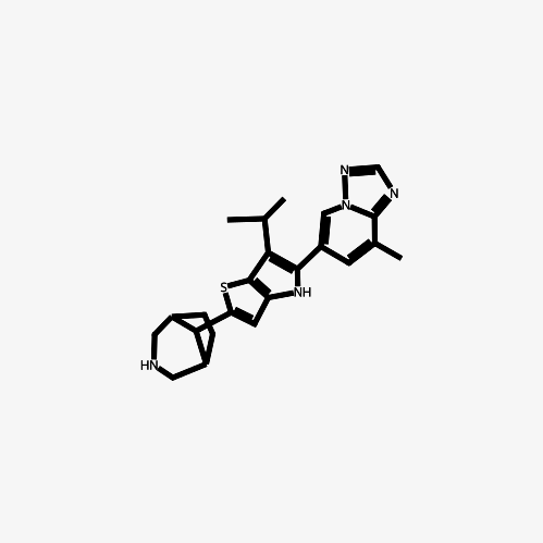 Cc1cc(-c2[nH]c3cc(C4C5CCC4CNC5)sc3c2C(C)C)cn2ncnc12